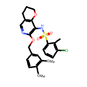 COc1ccc(COc2ncc3c(c2NS(=O)(=O)c2cccc(Cl)c2C)OCCC3)cc1OC